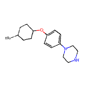 CC(C)(C)C1CCC(Oc2ccc(N3CCNCC3)cc2)CC1